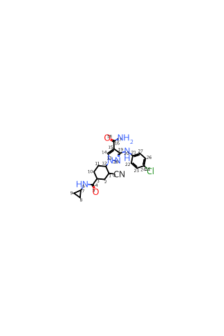 N#CC1CC(C(=O)NC2CC2)CCC1n1cc(C(N)=O)c(Nc2ccc(Cl)cc2)n1